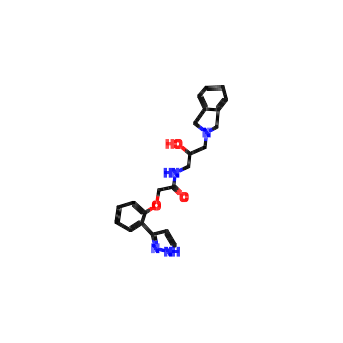 O=C(COc1ccccc1-c1cc[nH]n1)NCC(O)CN1Cc2ccccc2C1